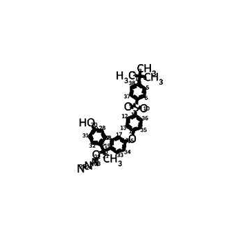 CC(C)(C)c1ccc(S(=O)(=O)c2ccc(Oc3ccc(C(C)(ON=[N+]=[N-])c4ccc(O)cc4)cc3)cc2)cc1